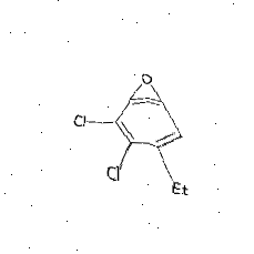 CCc1cc2c(c(Cl)c1Cl)O2